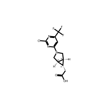 O=C(O)C[C@@H]1[C@H]2CN(c3cc(C(F)(F)F)nc(Cl)n3)C[C@@H]12